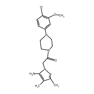 COc1cc(N2CCN(C(=O)Cn3nc(C)c(C)c3N)CC2)ccc1Cl